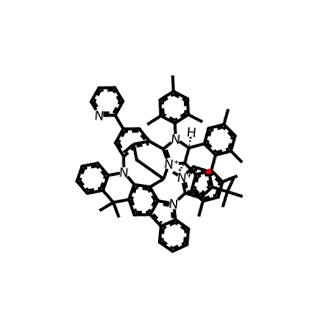 Cc1cc(C)c(N2C3=[N+](C4Cc5c3cc(-c3ccccn3)cc5N3c5ccccc5C(C)(C)c5cc6c7ccccc7n(-c7cc(C(C)(C)C)cc[n+]7C)c6c4c53)[C@]3(C)c4cc(C)cc(C)c4-c4c(C)cc(C)cc4[C@H]23)c(C)c1